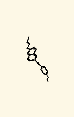 CCCCc1ccc2cc(C#Cc3ccc(CCC)cc3)ccc2c1